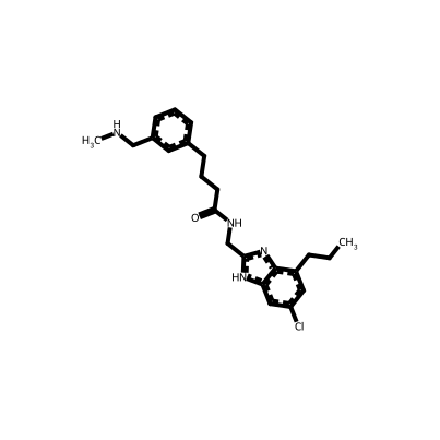 CCCc1cc(Cl)cc2[nH]c(CNC(=O)CCCc3cccc(CNC)c3)nc12